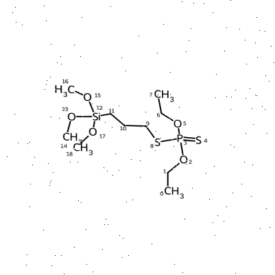 CCOP(=S)(OCC)SCCC[Si](OC)(OC)OC